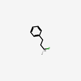 C[C@@H](F)CCc1ccccc1